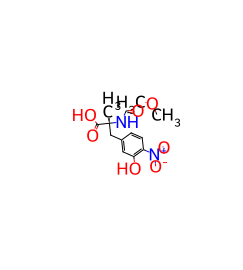 COC.C[C@](Cc1ccc([N+](=O)[O-])c(O)c1)(NC=O)C(=O)O